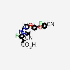 C/C(=C\C(=O)O)c1cc(F)c2nc(CN3CCC(Oc4cccc(COc5ccc(C#N)cc5F)c4)CC3)n(CC3(CC#N)CC3)c2c1